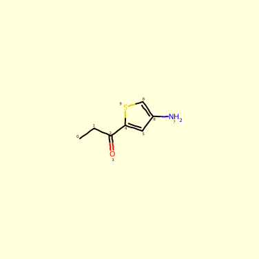 CCC(=O)c1cc(N)cs1